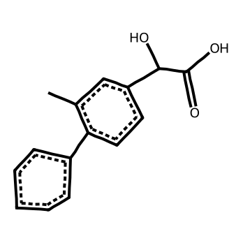 Cc1cc(C(O)C(=O)O)ccc1-c1ccccc1